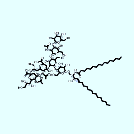 CCCCCCCCCCCCC/C=C/[C@@H](O)[C@H](CO[C@@H]1OC(CO)[C@@H](O[C@@H]2OC(CO)[C@H](O[C@@H]3OC(CO)[C@H](O)[C@H](O[C@@H]4OC(CO)[C@H](O)[C@H](O)C4O)C3NC(C)=O)[C@H](O[C@]3(C(=O)O)CC(O)[C@@H](NC(C)=O)C([C@H](O)[C@@H](CO)O[C@]4(C(=O)O)CC(O)[C@@H](NC(C)=O)C([C@H](O)[C@H](O)CO)O4)O3)C2O)[C@H](O)C1O)NC(=O)CCCCCCCCCCCCCCC